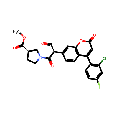 COC(=O)[C@H]1CCN(C(=O)[C@@H](C=O)c2ccc3c(-c4ccc(F)cc4Cl)cc(=O)oc3c2)C1